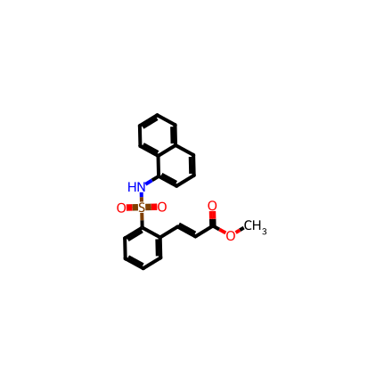 COC(=O)C=Cc1ccccc1S(=O)(=O)Nc1cccc2ccccc12